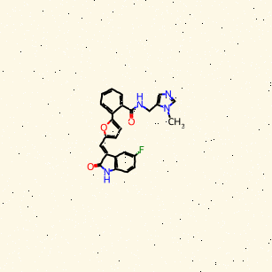 Cn1cncc1CNC(=O)c1ccccc1-c1ccc(/C=C2/C(=O)Nc3ccc(F)cc32)o1